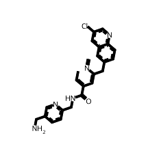 C=N/C(=C\C(=C/C)C(=O)NCc1ccc(CN)cn1)Cc1ccc2ncc(Cl)cc2c1